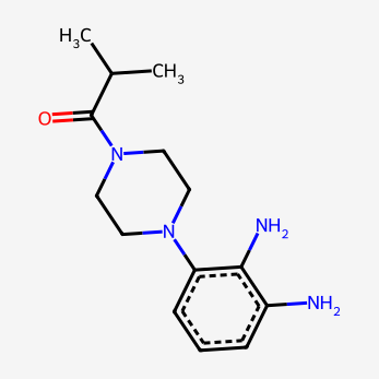 CC(C)C(=O)N1CCN(c2cccc(N)c2N)CC1